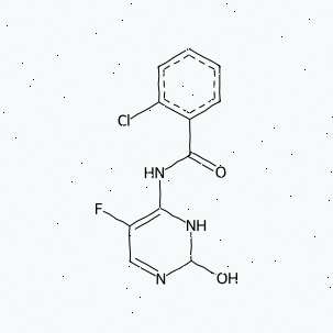 O=C(NC1=C(F)C=NC(O)N1)c1ccccc1Cl